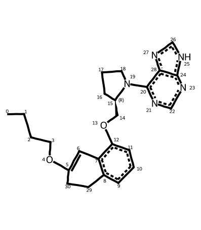 CCCCOC1=Cc2c(cccc2OC[C@H]2CCCN2c2ncnc3[nH]cnc23)CC1